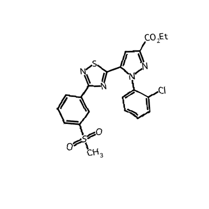 CCOC(=O)c1cc(-c2nc(-c3cccc(S(C)(=O)=O)c3)ns2)n(-c2ccccc2Cl)n1